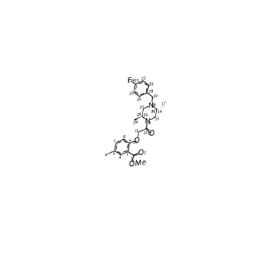 COC(=O)c1cc(C)ccc1OCC(=O)N1C[C@@H](C)N(Cc2ccc(F)cc2)C[C@@H]1C